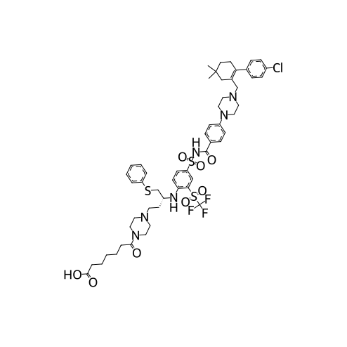 CC1(C)CCC(c2ccc(Cl)cc2)=C(CN2CCN(c3ccc(C(=O)NS(=O)(=O)c4ccc(N[C@H](CCN5CCN(C(=O)CCCCCC(=O)O)CC5)CSc5ccccc5)c(S(=O)(=O)C(F)(F)F)c4)cc3)CC2)C1